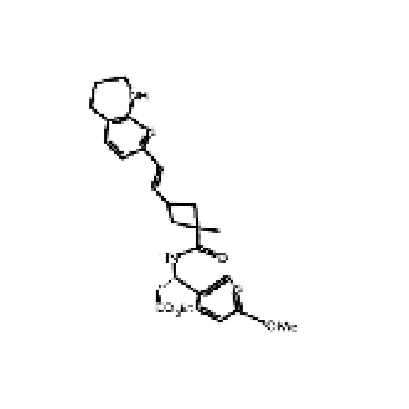 CCOC(=O)C[C@H](NC(=O)C1(C)CC(/C=C/c2ccc3c(n2)NCCC3)C1)c1ccc(OC)nc1